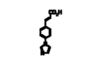 O=C(O)/C=C/c1ccc(-n2ccnc2)cc1